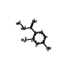 CCCNC(=N)c1ccc(O)nc1C